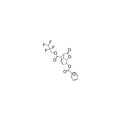 O=C(OC1C2CC3C1OC(=O)C3C2C(=O)OCC(F)(F)C(F)F)C1CC2C=CC1O2